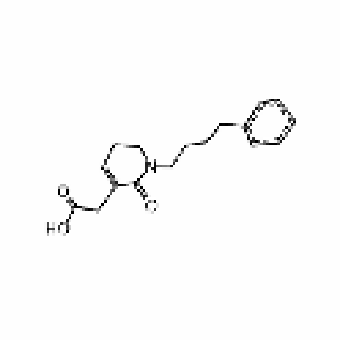 O=C(O)CC1=CCCN(CCCCc2ccccc2)C1=O